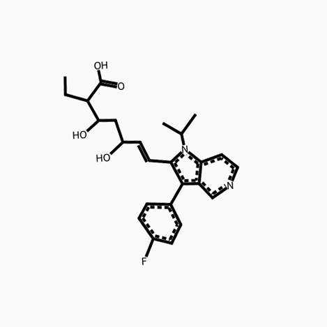 CCC(C(=O)O)C(O)CC(O)C=Cc1c(-c2ccc(F)cc2)c2cnccc2n1C(C)C